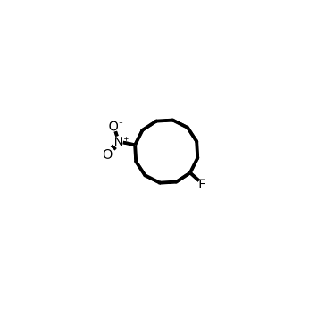 O=[N+]([O-])C1CCCCCCC(F)CCCC1